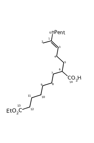 CCCCCC(C)=CCCC(CCCCCCC(=O)OCC)C(=O)O